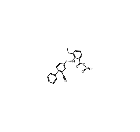 CCc1cccc(C(=O)O[N+](=O)[O-])c1NCc1ccc(-c2ccccc2)c(C#N)c1